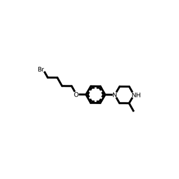 CC1CN(c2ccc(OCCCCBr)cc2)CCN1